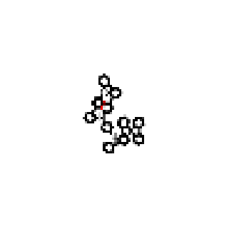 c1ccc(-c2ccccc2N(c2ccc(-c3cccc4c3oc3ccccc34)cc2)c2ccc(-n3c4ccccc4c4ccc5c(c43)-c3ccccc3C53c4ccccc4-c4ccccc43)cc2)cc1